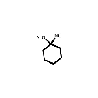 CC(=O)OC1(N=O)CCCCC1